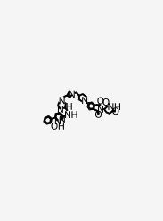 O=C1CCC(N2C(=O)c3ccc(N4CCC(CN5CC(CN6CCN7c8cc(-c9ccccc9O)nnc8NC[C@H]7C6)C5)CC4)cc3C2=O)C(=O)N1